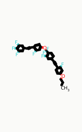 CCCCOc1ccc(C#Cc2ccc(C(F)(F)Oc3ccc(C#Cc4cc(F)c(F)c(F)c4)c(F)c3)c(F)c2)c(F)c1